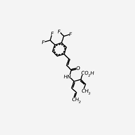 C=C/C=C(NC(=O)/C=C/c1ccc(C(F)F)c(C(F)F)c1)\C(=C/C)C(=O)O